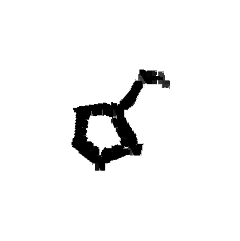 Nn1[c]cnn1